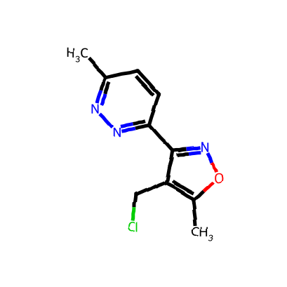 Cc1ccc(-c2noc(C)c2CCl)nn1